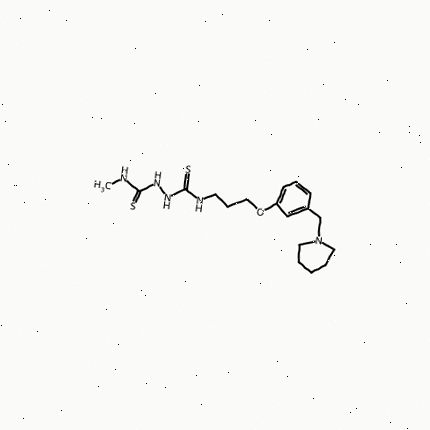 CNC(=S)NNC(=S)NCCCOc1cccc(CN2CCCCC2)c1